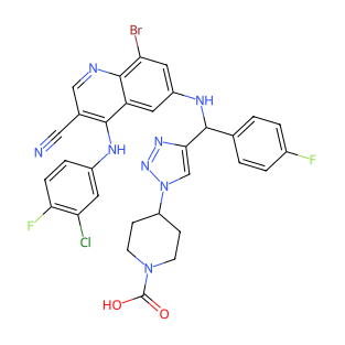 N#Cc1cnc2c(Br)cc(NC(c3ccc(F)cc3)c3cn(C4CCN(C(=O)O)CC4)nn3)cc2c1Nc1ccc(F)c(Cl)c1